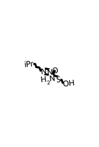 CC(C)CCCCN1CCN(C(=O)C(N)CSCCO)CC1